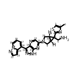 Cc1csc(C2(CN)[C@@H]3CN(c4cnc5c(-c6cccn7nccc67)n[nH]c5n4)C[C@@H]32)n1